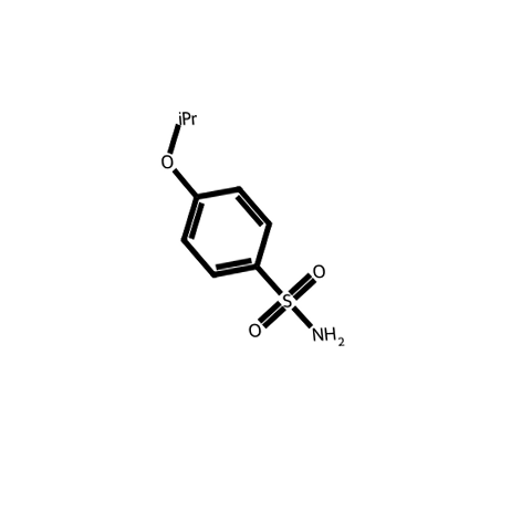 CC(C)Oc1ccc(S(N)(=O)=O)cc1